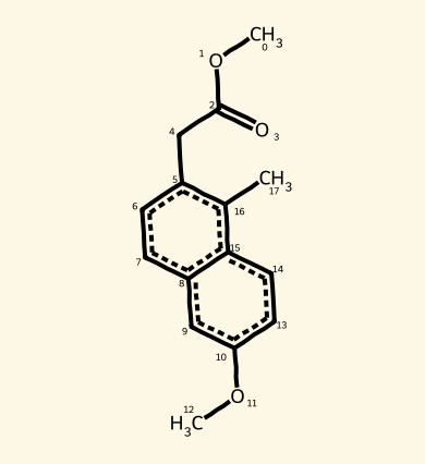 COC(=O)Cc1ccc2cc(OC)ccc2c1C